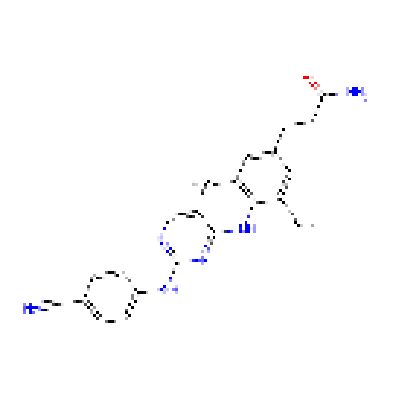 Cc1cc(CCC(N)=O)cc(C)c1Nc1ccnc(Nc2ccc(C#N)cc2)n1